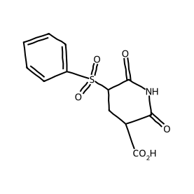 O=C(O)C1CC(S(=O)(=O)c2ccccc2)C(=O)NC1=O